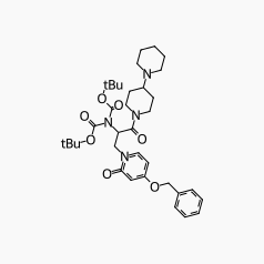 CC(C)(C)OC(=O)N(C(=O)OC(C)(C)C)C(Cn1ccc(OCc2ccccc2)cc1=O)C(=O)N1CCC(N2CCCCC2)CC1